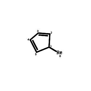 [Re][CH]1C=CC=C1